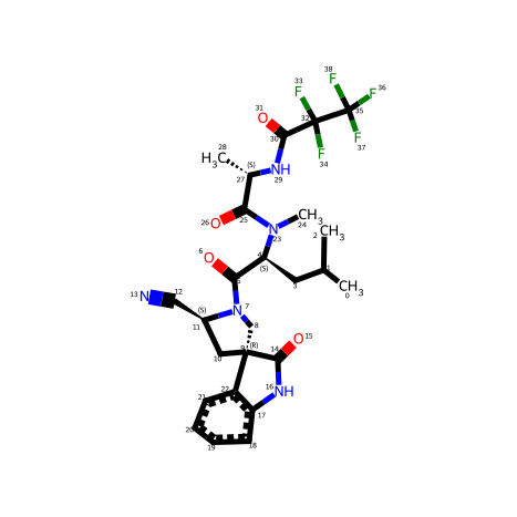 CC(C)C[C@@H](C(=O)N1C[C@]2(C[C@H]1C#N)C(=O)Nc1ccccc12)N(C)C(=O)[C@H](C)NC(=O)C(F)(F)C(F)(F)F